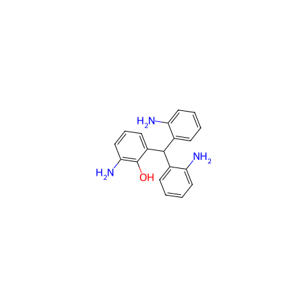 Nc1ccccc1C(c1ccccc1N)c1cccc(N)c1O